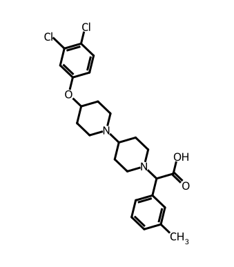 Cc1cccc(C(C(=O)O)N2CCC(N3CCC(Oc4ccc(Cl)c(Cl)c4)CC3)CC2)c1